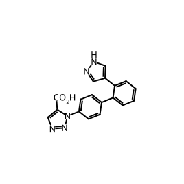 O=C(O)c1cnnn1-c1ccc(-c2ccccc2-c2cn[nH]c2)cc1